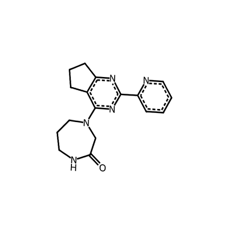 O=C1CN(c2nc(-c3ccccn3)nc3c2CCC3)CCCN1